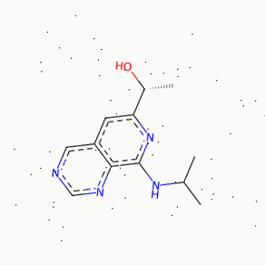 CC(C)Nc1nc([C@@H](C)O)cc2cncnc12